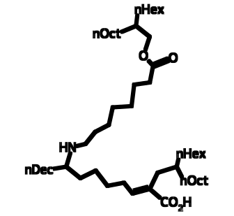 CCCCCCCCCCC(CCCCC=C(CC(CCCCCC)CCCCCCCC)C(=O)O)NCCCCCCCC(=O)OCC(CCCCCC)CCCCCCCC